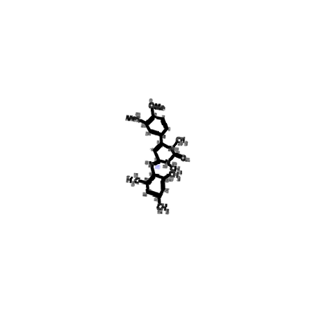 COc1ccc(-c2c/c(=N/c3c(C)cc(C)cc3C)n(C)c(=O)n2C)cc1SC